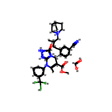 COC(=O)C1=C(C)N(c2cccc(C(F)(F)F)c2)c2n[nH]c(=O)n2[C@@H]1c1ccc(C#N)cc1CC(C)C[N+]12CCC(CC1)CC2.O=C[O-]